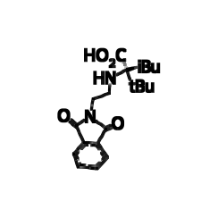 CC[C@H](C)[C@@](NCCN1C(=O)c2ccccc2C1=O)(C(=O)O)C(C)(C)C